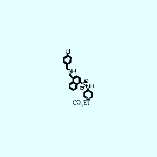 CCOC(=O)N1CCC(NS(=O)(=O)c2ccc(CNCc3ccc(Cl)cc3)c3ccccc23)CC1